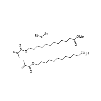 C=C(C)C(=O)OCCCCCCCCCCCC(=O)O.C=C(C)C(=O)OCCCCCCCCCCCC(=O)OC.CCOCC